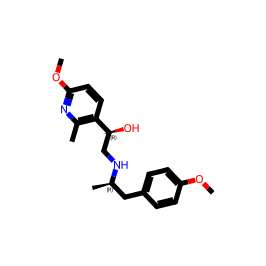 COc1ccc(C[C@@H](C)NC[C@H](O)c2ccc(OC)nc2C)cc1